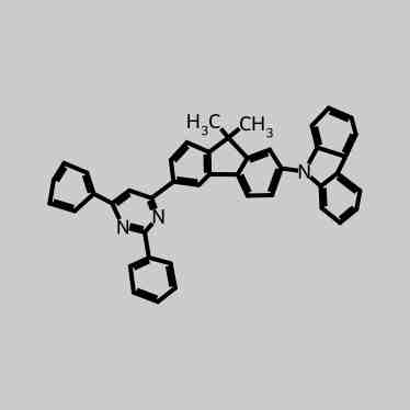 CC1(C)c2ccc(-c3cc(-c4ccccc4)nc(-c4ccccc4)n3)cc2-c2ccc(-n3c4ccccc4c4ccccc43)cc21